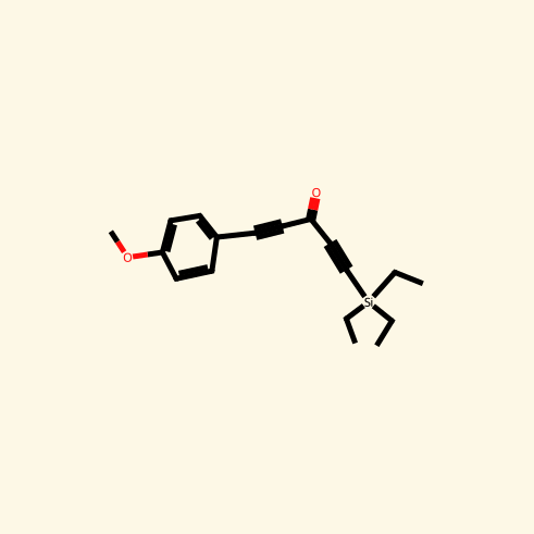 CC[Si](C#CC(=O)C#Cc1ccc(OC)cc1)(CC)CC